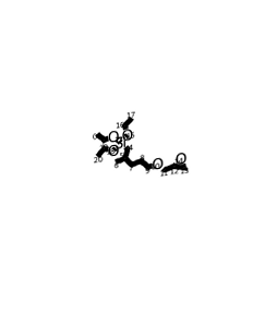 CCO[Si](CC(C)CCCOCC1CO1)(OCC)OCC